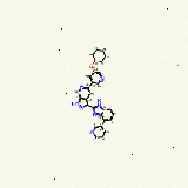 c1cncc(-c2cccc3[nH]c(-c4n[nH]c5cnc(-c6cncc(OC7CCCCC7)c6)cc45)nc23)c1